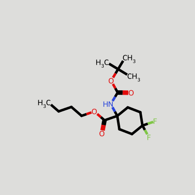 CCCCOC(=O)C1(NC(=O)OC(C)(C)C)CCC(F)(F)CC1